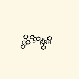 c1ccc(C2=NC(c3ccc4c(c3)sc3cc(-c5ccccc5-c5cccc6c5oc5ccccc56)ccc34)=NC(c3ccccc3)N2)cc1